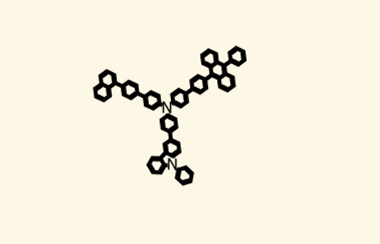 c1ccc(-c2c3ccccc3c(-c3ccc(-c4ccc(N(c5ccc(-c6ccc(-c7cccc8ccccc78)cc6)cc5)c5ccc(-c6ccc7c(c6)c6ccccc6n7-c6ccccc6)cc5)cc4)cc3)c3ccccc23)cc1